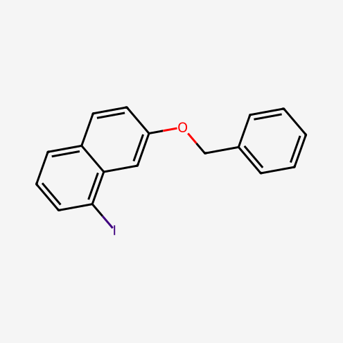 Ic1cccc2ccc(OCc3ccccc3)cc12